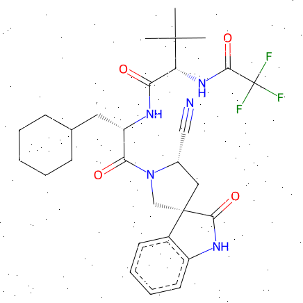 CC(C)(C)[C@H](NC(=O)C(F)(F)F)C(=O)N[C@@H](CC1CCCCC1)C(=O)N1C[C@]2(C[C@H]1C#N)C(=O)Nc1ccccc12